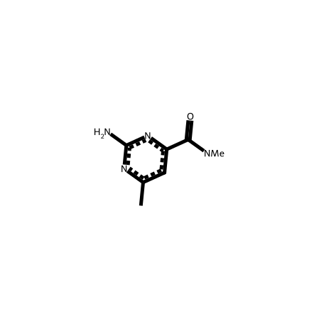 [CH2+][N-]C(=O)c1cc(C)nc(N)n1